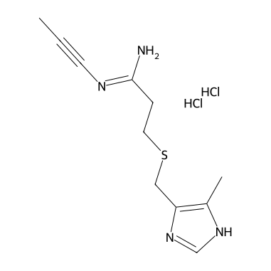 CC#CN=C(N)CCSCc1nc[nH]c1C.Cl.Cl